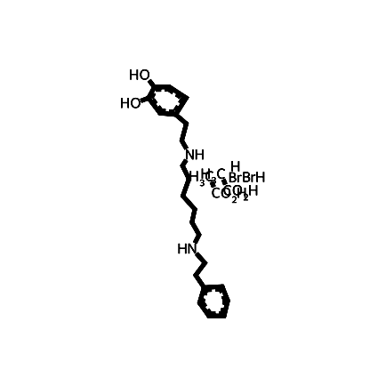 Br.Br.CC(=O)O.CC(=O)O.Oc1ccc(CCNCCCCCCNCCc2ccccc2)cc1O